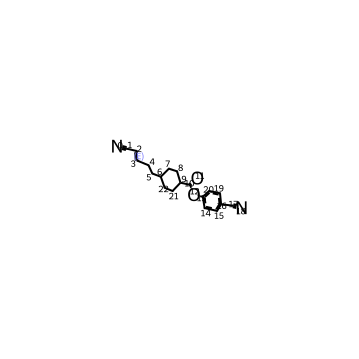 N#C/C=C/CCC1CCC(C(=O)Oc2ccc(C#N)cc2)CC1